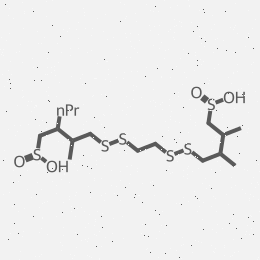 CCCC(CS(=O)O)C(C)CSSCCSSCC(C)C(C)CS(=O)O